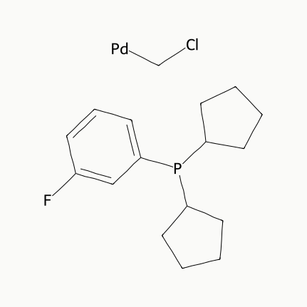 Cl[CH2][Pd].Fc1cccc(P(C2CCCC2)C2CCCC2)c1